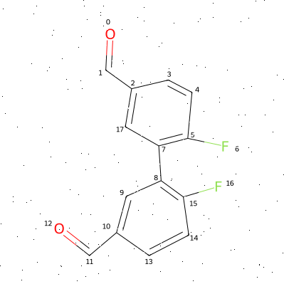 O=Cc1ccc(F)c(-c2cc(C=O)ccc2F)c1